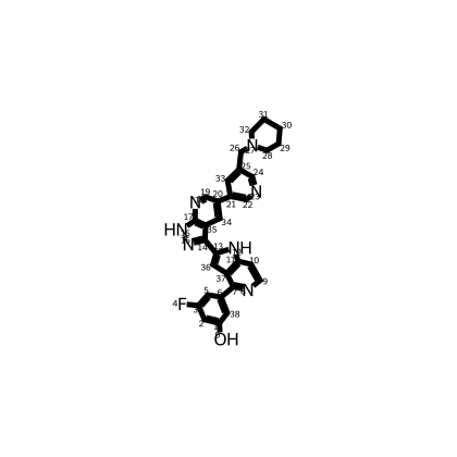 Oc1cc(F)cc(-c2nccc3[nH]c(-c4n[nH]c5ncc(-c6cncc(CN7CCCCC7)c6)cc45)cc23)c1